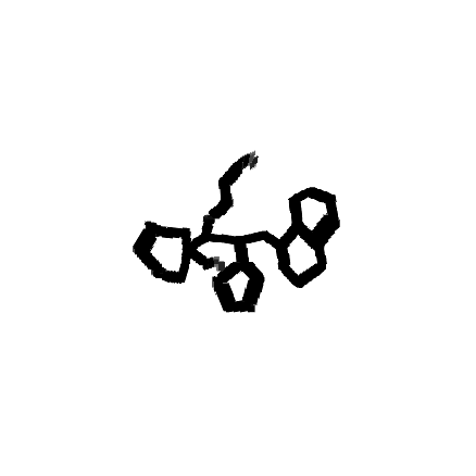 C=CCOC(C(Cc1cccc2ccccc12)n1cncn1)C1(C)COCOC1